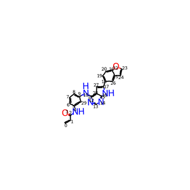 C=CC(=O)Nc1cccc(Nc2ncnc3[nH]c(-c4ccc5occc5c4)cc23)c1